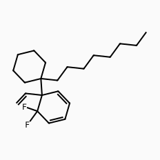 C=CC1(C2(CCCCCCCC)CCCCC2)C=CC=CC1(F)F